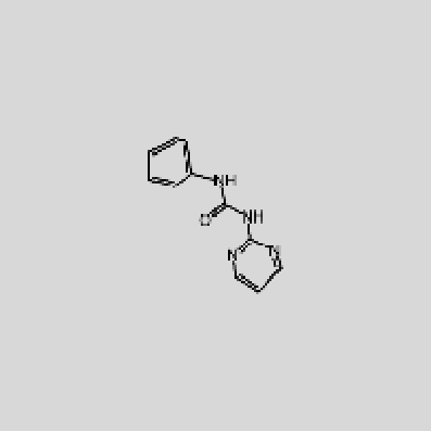 O=C(Nc1ccccc1)Nc1ncccn1